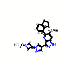 COc1cc2[nH]nc(-c3cnn(C4CN(C(=O)O)C4)c3)c2nc1-c1cccc2c1CCC2